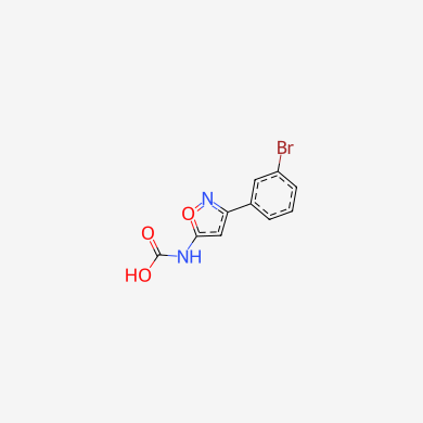 O=C(O)Nc1cc(-c2cccc(Br)c2)no1